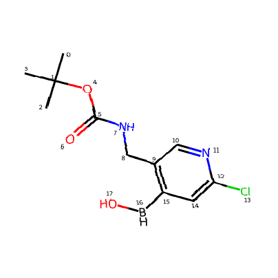 CC(C)(C)OC(=O)NCc1cnc(Cl)cc1BO